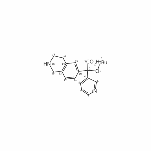 CC(C)(C)OC(C(=O)O)(c1cccnc1)c1ccc2c(c1)CCNC2